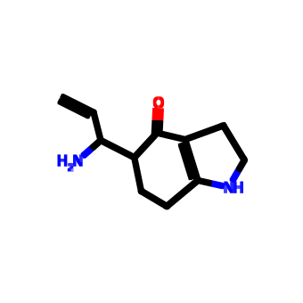 C=CC(N)C1CCC2=C(CCN2)C1=O